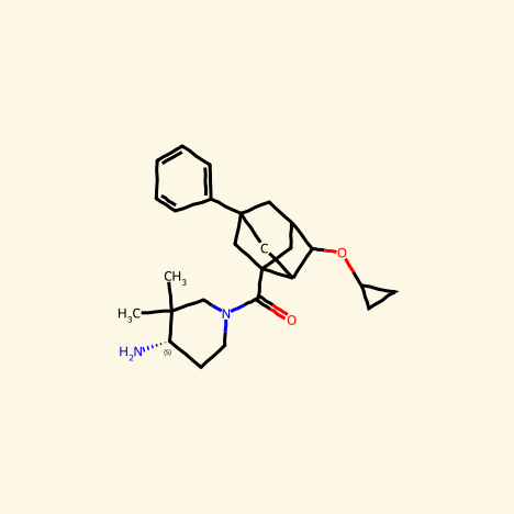 CC1(C)CN(C(=O)C23CC4CC(c5ccccc5)(CC2C4OC2CC2)C3)CC[C@@H]1N